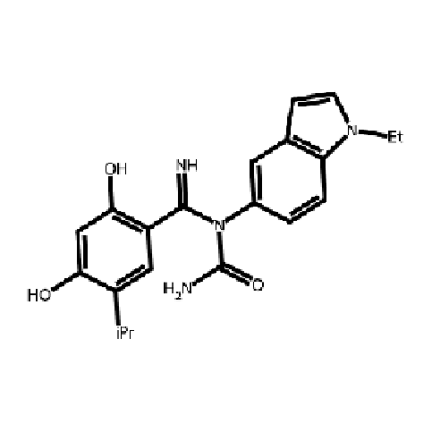 CCn1ccc2cc(N(C(=N)c3cc(C(C)C)c(O)cc3O)C(N)=O)ccc21